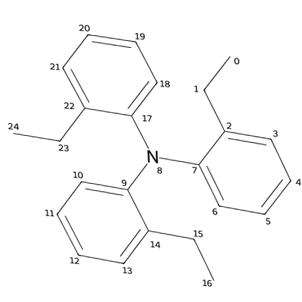 CCc1ccccc1N(c1ccccc1CC)c1ccccc1CC